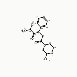 CC1CN(C(=O)CN(C(=O)C(C)Cl)c2ccccc2)CCO1